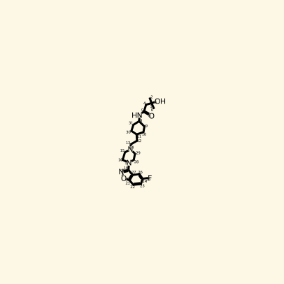 CC(C)(O)CC(=O)NC1CCC(CCN2CCN(c3noc4ccc(F)cc34)CC2)CC1